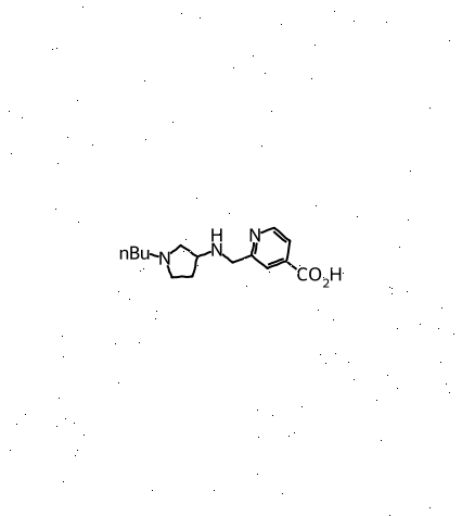 CCCCN1CCC(NCc2cc(C(=O)O)ccn2)C1